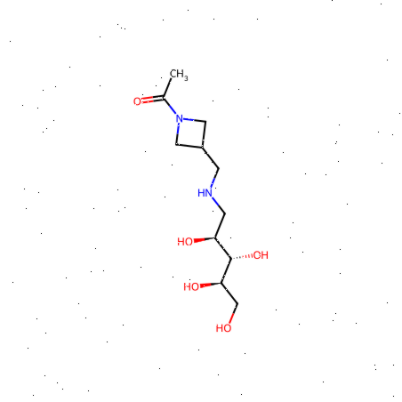 CC(=O)N1CC(CNC[C@H](O)[C@H](O)[C@H](O)CO)C1